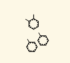 CCc1ccccc1.CCc1ccccc1.CCc1ccccc1P